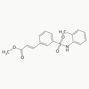 COC(=O)C=Cc1cccc(S(=O)(=O)Nc2ccccc2C)c1